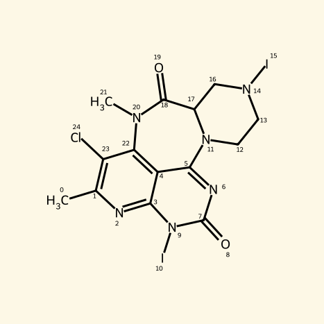 Cc1nc2c3c(nc(=O)n2I)N2CCN(I)CC2C(=O)N(C)c3c1Cl